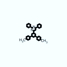 Cc1ccc(-c2cc(-c3ccc(C)cc3)cc(-c3cc(-c4ccccc4)nc(-c4ccccc4)n3)c2)cc1